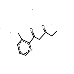 CCC(=O)CC(=O)c1ncccc1C